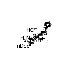 CCCCCCCCCCCCC[C@@H](CC(N)=O)NC(=O)[C@@H](N)CCCC(=O)OCc1ccccc1.Cl